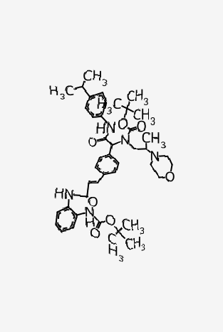 CC(C)c1ccc(NC(=O)C(c2ccc(C=CC(=O)Nc3ccccc3NC(=O)OC(C)(C)C)cc2)N(CC(C)N2CCOCC2)C(=O)OC(C)(C)C)cc1